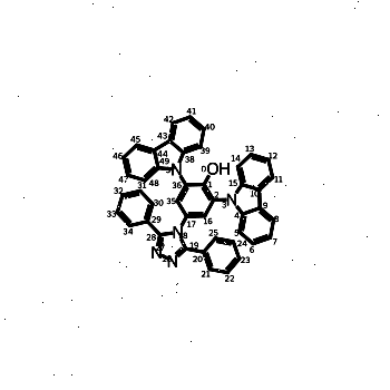 Oc1c(-n2c3ccccc3c3ccccc32)cc(-n2c(-c3ccccc3)nnc2-c2ccccc2)cc1-n1c2ccccc2c2ccccc21